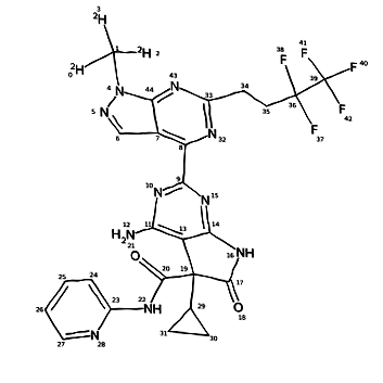 [2H]C([2H])([2H])n1ncc2c(-c3nc(N)c4c(n3)NC(=O)C4(C(=O)Nc3ccccn3)C3CC3)nc(CCC(F)(F)C(F)(F)F)nc21